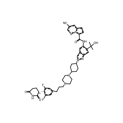 CC(C)(O)c1cc2nn(C3CCC(N4CCN(CCCc5cc(F)c([C@H]6CCC(=O)NC6=O)c(F)c5)CC4)CC3)cc2cc1NC(=O)c1ccc2cc(C#N)cnn12